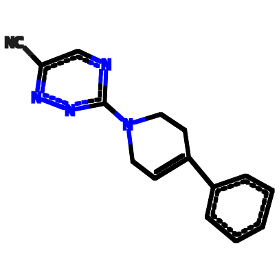 N#Cc1cnc(N2CC=C(c3ccccc3)CC2)nn1